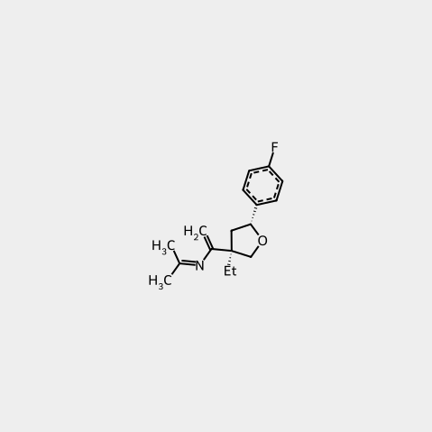 C=C(N=C(C)C)[C@]1(CC)CO[C@@H](c2ccc(F)cc2)C1